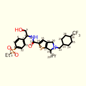 CCS(=O)(=O)c1ccc(C(CO)NC(=O)c2cc3c(s2)C(C(C)C)N(CC2CCC(C(F)(F)F)CC2)C3)cc1